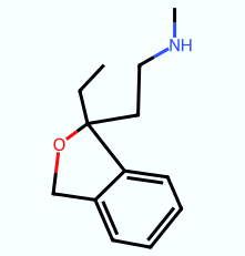 CCC1(CCNC)OCc2ccccc21